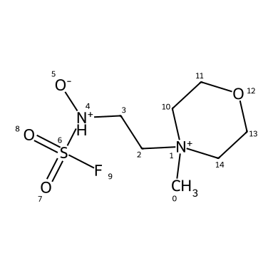 C[N+]1(CC[NH+]([O-])S(=O)(=O)F)CCOCC1